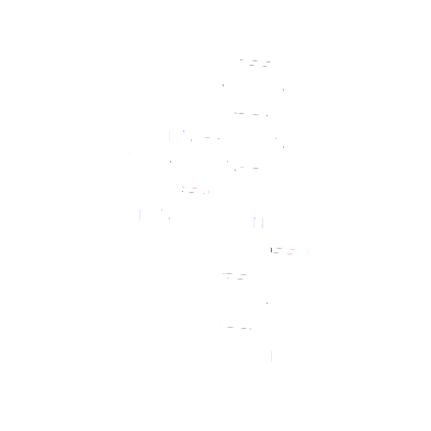 CC(C)[C@H](Nc1nc(CNC(=O)c2cccc(C(F)(F)F)c2)nc2ccccc12)C(N)=O